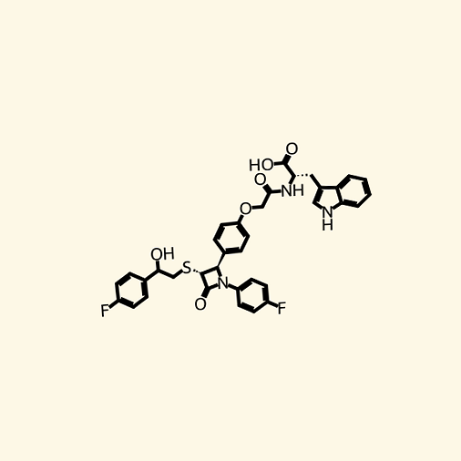 O=C(COc1ccc([C@@H]2[C@@H](SCC(O)c3ccc(F)cc3)C(=O)N2c2ccc(F)cc2)cc1)N[C@@H](Cc1c[nH]c2ccccc12)C(=O)O